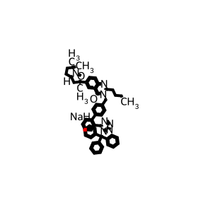 CCCCc1nc2ccc([C@]3(C)C[C@H]4CCC(C)(C)N4O3)cc2c(=O)n1Cc1ccc(-c2ccccc2-c2nnnn2C(c2ccccc2)(c2ccccc2)c2ccccc2)cc1.[NaH]